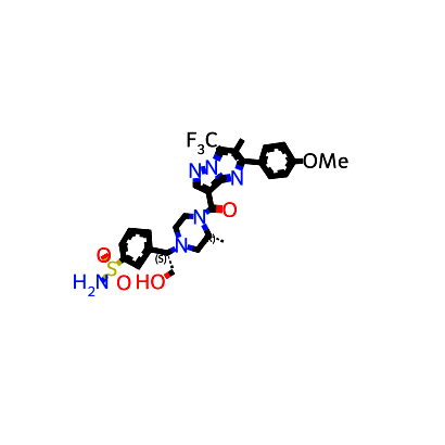 COc1ccc(-c2nc3c(C(=O)N4CCN([C@H](CO)c5cccc(S(N)(=O)=O)c5)C[C@H]4C)cnn3c(C(F)(F)F)c2C)cc1